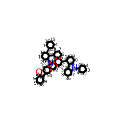 c1ccc(-c2ccccc2-c2c(-c3ccccc3)cccc2N(c2ccc(-c3cccc4c3c3ccccc3n4-c3ccccc3)cc2)c2ccc3c(c2)oc2ccccc23)cc1